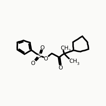 CC(C)(C(=O)COS(=O)(=O)c1ccccc1)C1CCCCC1